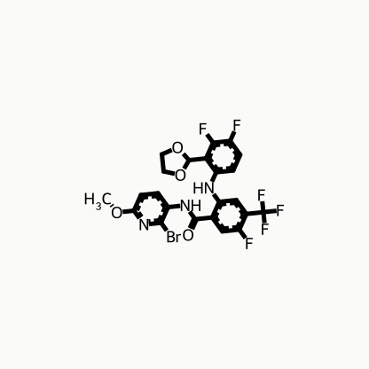 COc1ccc(NC(=O)c2cc(F)c(C(F)(F)F)cc2Nc2ccc(F)c(F)c2C2OCCO2)c(Br)n1